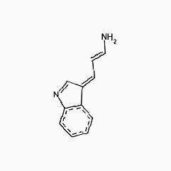 NC=CC=C1C=Nc2ccccc21